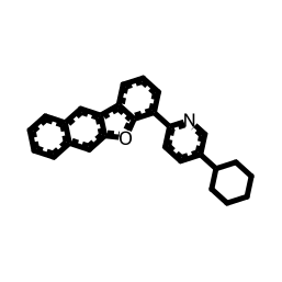 c1ccc2cc3c(cc2c1)oc1c(-c2ccc(C4CCCCC4)cn2)cccc13